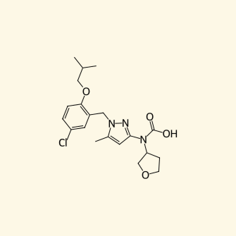 Cc1cc(N(C(=O)O)C2CCOC2)nn1Cc1cc(Cl)ccc1OCC(C)C